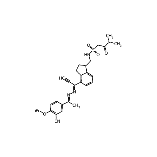 C#C/C(=N\N=C(/C)c1ccc(OC(C)C)c(C#N)c1)c1cccc2c1CCC2CNS(=O)(=O)CC(=O)N(C)C